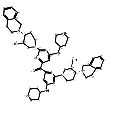 O=C(c1cc(NC2CCNCC2)nc(N2CC[C@@H](N3CCc4ccccc4C3)[C@H](O)C2)n1)c1cc(NC2CCNCC2)nc(N2CC[C@@H](N3CCc4ccccc4C3)[C@H](O)C2)n1